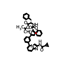 CC(C)OC(=O)[C@H](Cc1ccccc1)NP(=O)(Oc1ccccc1)c1ccc(-c2cccc(-c3cccc4nc(NC(=O)C5CC5)cn34)c2)o1